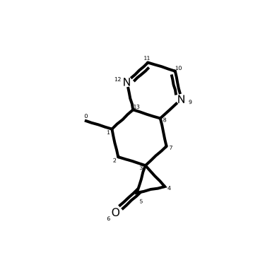 CC1CC2(CC2=O)CC2N=CC=NC12